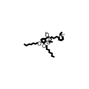 CCCCCCCOc1ccc(C(=O)N(CCCc2cccc[n+]2CC)C(C)=O)cc1OCCCCCCC.[I-]